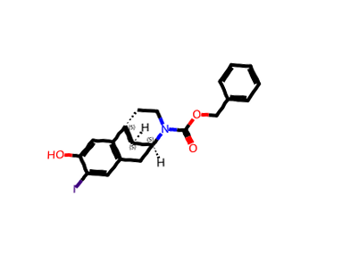 O=C(OCc1ccccc1)N1CC[C@@]23CCCC[C@@H]2[C@@H]1Cc1cc(I)c(O)cc13